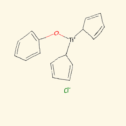 C1=C[CH]([Ti+]([O]c2ccccc2)[CH]2C=CC=C2)C=C1.[Cl-]